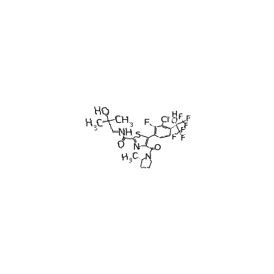 C[C@H]1CCCN1C(=O)c1nc(C(=O)NCC(C)(C)O)sc1-c1ccc(C(O)(C(F)(F)F)C(F)(F)F)c(Cl)c1F